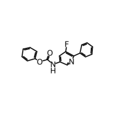 O=C(Nc1cnc(-c2ccccc2)c(F)c1)Oc1ccccc1